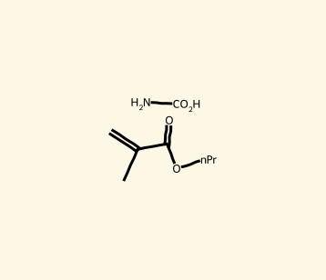 C=C(C)C(=O)OCCC.NC(=O)O